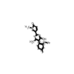 Cc1nc(-c2ccc(=O)n(C)c2)nc(O)c1-c1ccc(F)cc1OC(C)C